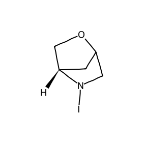 IN1CC2C[C@H]1CO2